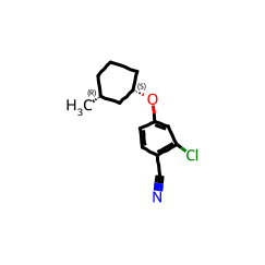 C[C@@H]1CCC[C@H](Oc2ccc(C#N)c(Cl)c2)C1